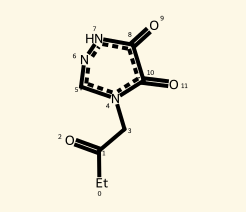 CCC(=O)Cn1[c]n[nH]c(=O)c1=O